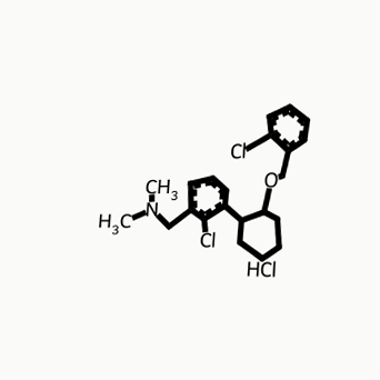 CN(C)Cc1cccc(C2CCCCC2OCc2ccccc2Cl)c1Cl.Cl